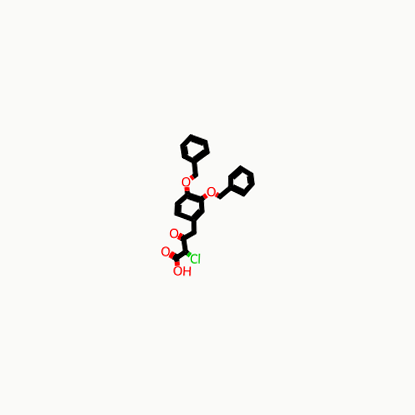 O=C(O)C(Cl)C(=O)Cc1ccc(OCc2ccccc2)c(OCc2ccccc2)c1